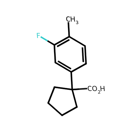 Cc1ccc(C2(C(=O)O)CCCC2)cc1F